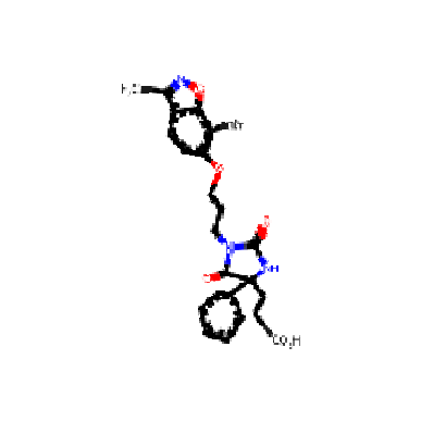 CCCc1c(OCCCN2C(=O)NC(CCC(=O)O)(c3ccccc3)C2=O)ccc2c(C(F)(F)F)noc12